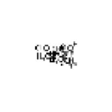 CC(=O)N[C@@H](C)c1cc(Cl)ccc1C1CCN(C(=O)[C@@H]2CN(C(C)(C)C)C[C@H]2c2ccc(F)cc2F)CC1